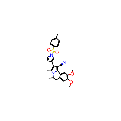 COc1cc2c(cc1OC)-c1c(C#N)c(-c3ccn(S(=O)(=O)c4ccc(C)cc4)c3)c(C)n1C(C)C2